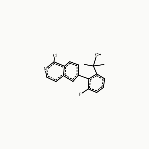 CC(C)(O)c1cccc(F)c1-c1ccc2c(Cl)nccc2c1